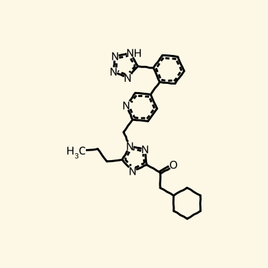 CCCc1nc(C(=O)CC2CCCCC2)nn1Cc1ccc(-c2ccccc2-c2nnn[nH]2)cn1